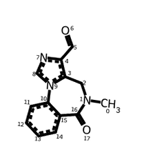 CN1Cc2c(C=O)ncn2-c2ccccc2C1=O